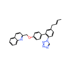 CC=CCc1ccc(-n2cnnn2)c(-c2ccc(OCc3ccc4ccccc4n3)cc2)c1